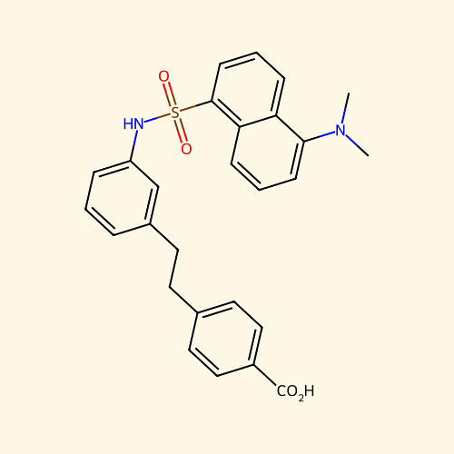 CN(C)c1cccc2c(S(=O)(=O)Nc3cccc(CCc4ccc(C(=O)O)cc4)c3)cccc12